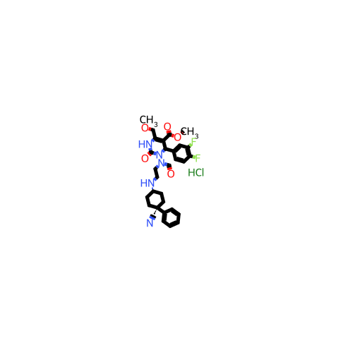 COCC1=C(C(=O)OC)C(c2ccc(F)c(F)c2)N(N(C=O)CCN[C@H]2CC[C@](C#N)(c3ccccc3)CC2)C(=O)N1.Cl